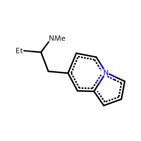 CCC(Cc1ccn2cccc2c1)NC